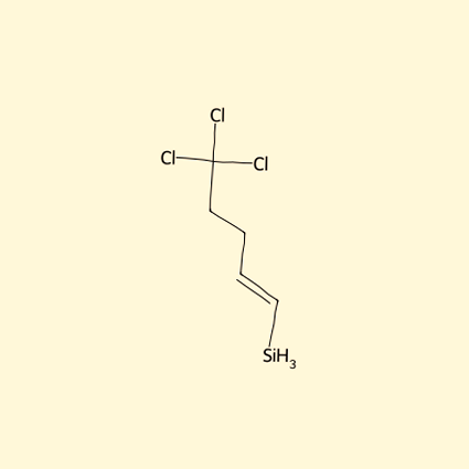 [SiH3]C=CCCC(Cl)(Cl)Cl